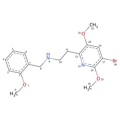 COc1ccccc1CNCCc1nc(OC)c(Br)cc1OC